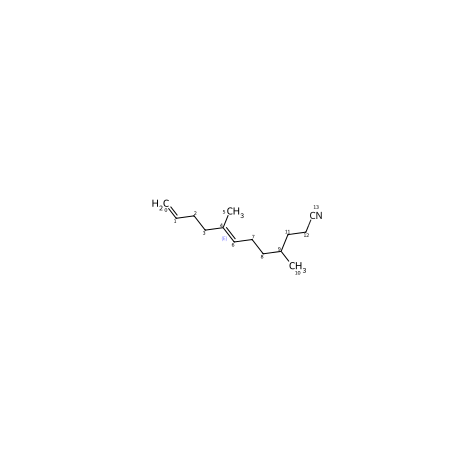 C=CCC/C(C)=C/CCC(C)CCC#N